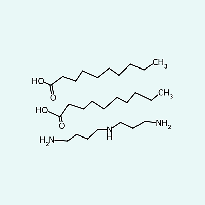 CCCCCCCCCC(=O)O.CCCCCCCCCC(=O)O.NCCCCNCCCN